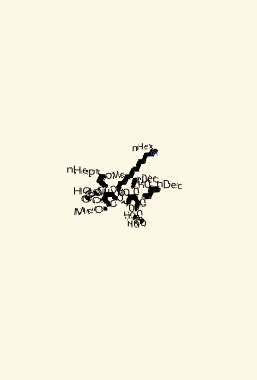 CCCCCC/C=C\CCCCCCCCCC(=O)O[C@H]1[C@H](OC[C@H]2OC(OP(=O)(O)O)[C@H](OCC[C@H](O)CCCCCCCCCCC)[C@@H](OCCCCCCCCCCCC)[C@@H]2O)O[C@H](COC)[C@@H](OP(=O)(O)O)[C@@H]1OCC[C@@H](CCCCCCC)OC